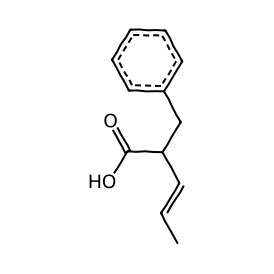 CC=CC(Cc1ccccc1)C(=O)O